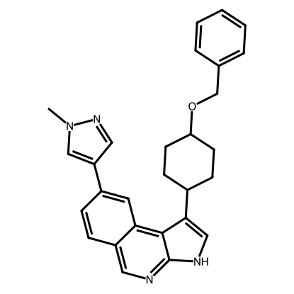 Cn1cc(-c2ccc3cnc4[nH]cc(C5CCC(OCc6ccccc6)CC5)c4c3c2)cn1